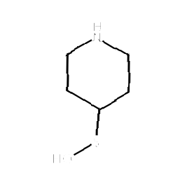 OSC1CCNCC1